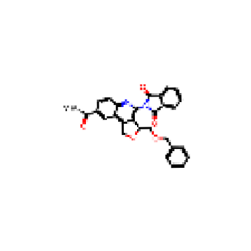 COC(=O)c1ccc2nc(N3C(=O)c4ccccc4C3=O)c3c(c2c1)COC3COCc1ccccc1